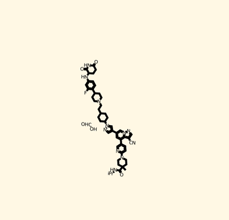 CC(C)NC(=O)C1(C)CCN(c2ccc(-c3cc(-c4cnn(C5CCC(CCN6CCC(c7ccc(NC8CCC(=O)NC8=O)cc7F)CC6)CC5)c4)cn4ncc(C#N)c34)cn2)CC1.O=CO